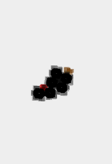 Brc1cccc([Si](c2ccccc2)(c2ccccc2)c2cccc(-c3cccc4c3oc3ccccc34)c2)c1